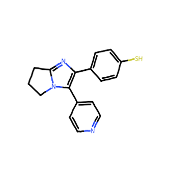 Sc1ccc(-c2nc3n(c2-c2ccncc2)CCC3)cc1